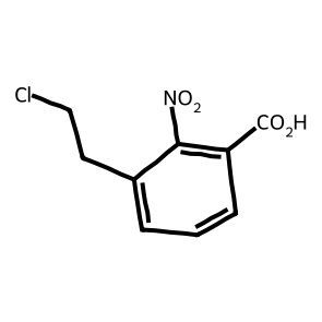 O=C(O)c1cccc(CCCl)c1[N+](=O)[O-]